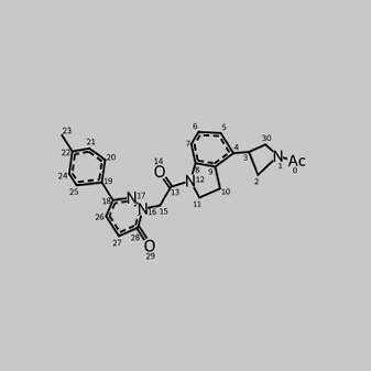 CC(=O)N1CC(c2cccc3c2CCN3C(=O)Cn2nc(-c3ccc(C)cc3)ccc2=O)C1